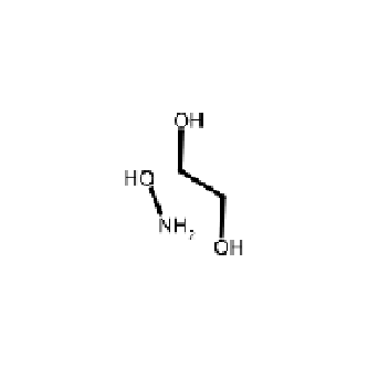 NO.OCCO